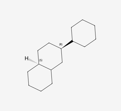 C1CCC([C@@H]2CC[C@@H]3CCCCC3C2)CC1